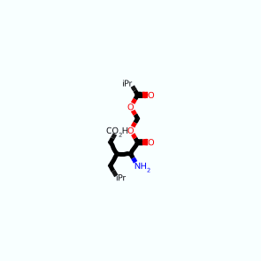 CC(C)CC(CC(=O)O)C(N)C(=O)OCOC(=O)C(C)C